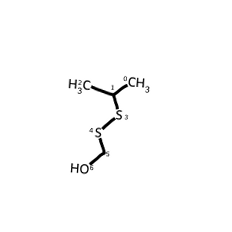 CC(C)SSCO